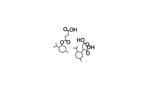 CC1CCC(C(C)C)C(C(CC(=O)O)C(=O)O)C1.CC1CCC(C(C)C)C(OC(=O)CCC(=O)O)C1